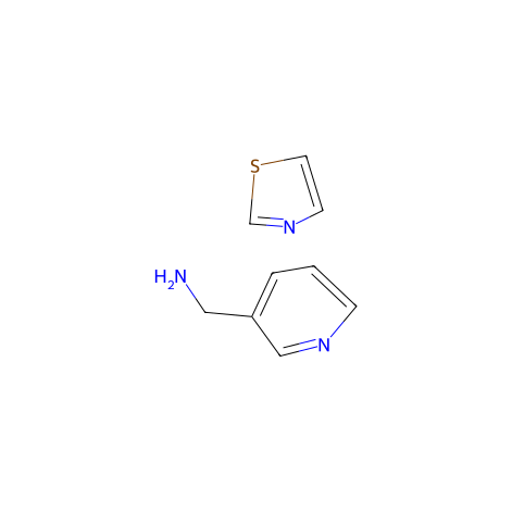 NCc1cccnc1.c1cscn1